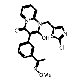 CO/N=C(\C)c1cccc(-c2c(O)n(Cc3cnc(Cl)s3)c3cccc[n+]3c2=O)c1